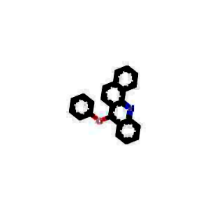 c1ccc(Oc2c3ccccc3nc3c2ccc2ccccc23)cc1